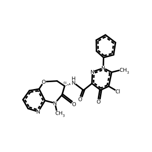 Cc1c(Cl)c(=O)c(C(=O)N[C@H]2COc3cccnc3N(C)C2=O)nn1-c1ccccc1